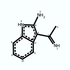 CC(=N)c1c(N)[nH]c2ccccc12